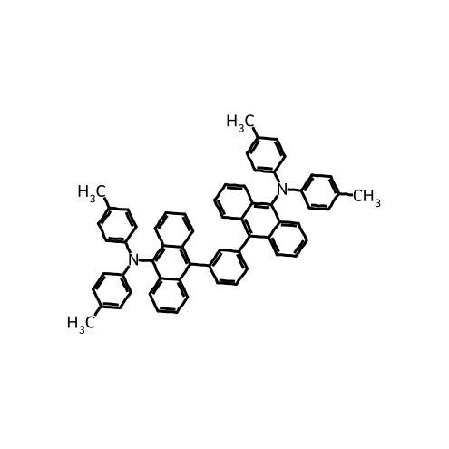 Cc1ccc(N(c2ccc(C)cc2)c2c3ccccc3c(-c3cccc(-c4c5ccccc5c(N(c5ccc(C)cc5)c5ccc(C)cc5)c5ccccc45)c3)c3ccccc23)cc1